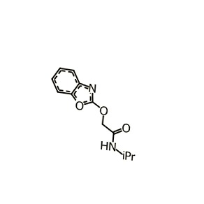 CC(C)NC(=O)COc1nc2ccccc2o1